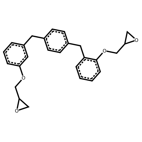 c1cc(Cc2ccc(Cc3ccccc3OCC3CO3)cc2)cc(OCC2CO2)c1